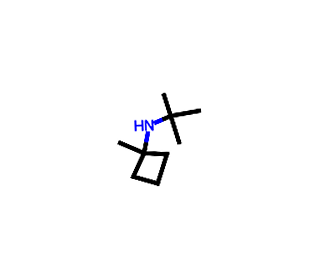 CC(C)(C)NC1(C)CCC1